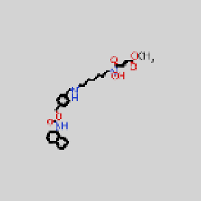 COC(=O)/C=C/C(=O)N(O)CCCCCCCNCc1ccc(COC(=O)Nc2cccc3ccccc23)cc1